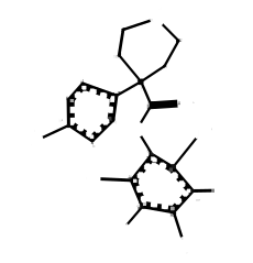 O=C(Oc1c(F)c(F)c(F)c(F)c1F)C1(c2ccc(C(F)(F)F)cc2)CCOCC1